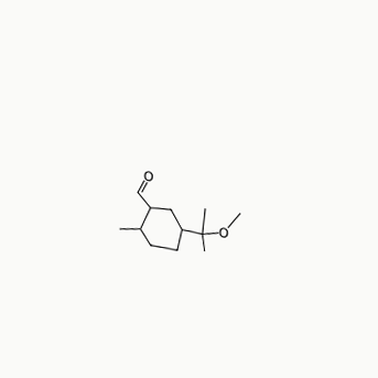 COC(C)(C)C1CCC(C)C(C=O)C1